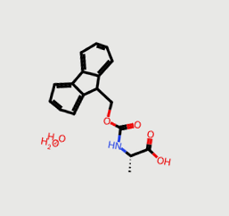 C[C@H](NC(=O)OCC1c2ccccc2-c2ccccc21)C(=O)O.O.O